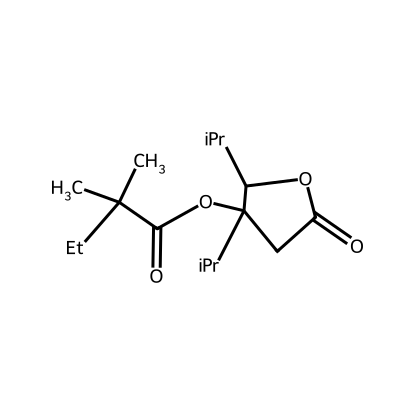 CCC(C)(C)C(=O)OC1(C(C)C)CC(=O)OC1C(C)C